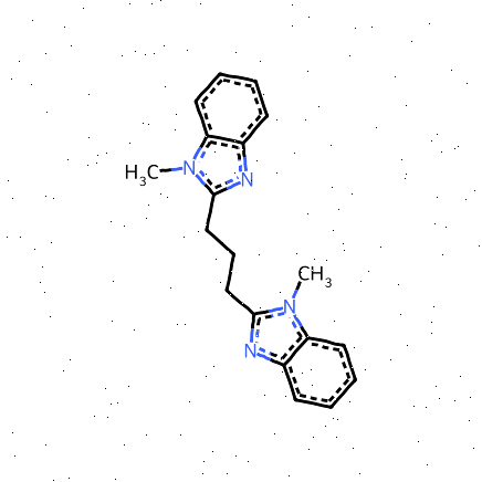 Cn1c(CCCc2nc3ccccc3n2C)nc2ccccc21